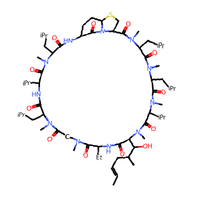 C/C=C/CC(C)C(O)C1C(=O)NC(CC)C(=O)N(C)CC(=O)N(C)C(CC(C)C)C(=O)NC(C(C)C)C(=O)N(C)C(CC(C)C)C(=O)NC2CCC3SCC(C(=O)N(C)C(CC(C)C)C(=O)N(C)C(CC(C)C)C(=O)N(C)C(C(C)C)C(=O)N1C)N3C2=O